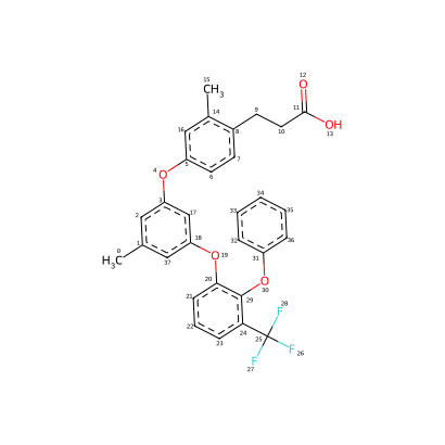 Cc1cc(Oc2ccc(CCC(=O)O)c(C)c2)cc(Oc2cccc(C(F)(F)F)c2Oc2ccccc2)c1